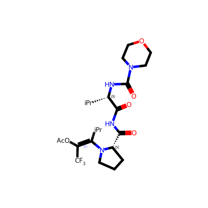 CC(=O)O/C(=C(\C(C)C)N1CCC[C@H]1C(=O)NC(=O)[C@@H](NC(=O)N1CCOCC1)C(C)C)C(F)(F)F